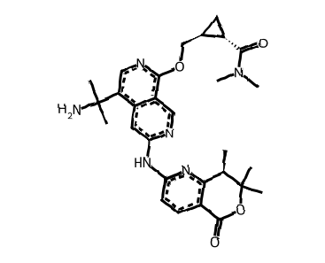 C[C@@H]1c2nc(Nc3cc4c(C(C)(C)N)cnc(OC[C@H]5C[C@@H]5C(=O)N(C)C)c4cn3)ccc2C(=O)OC1(C)C